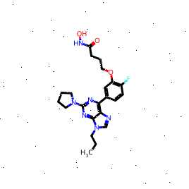 CCCn1cnc2c(-c3ccc(F)c(OCCCC(=O)NO)c3)nc(N3CCCC3)nc21